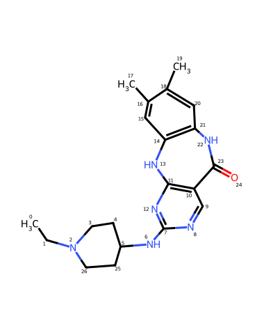 CCN1CCC(Nc2ncc3c(n2)Nc2cc(C)c(C)cc2NC3=O)CC1